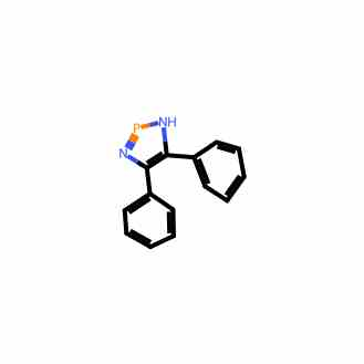 c1ccc(-c2np[nH]c2-c2ccccc2)cc1